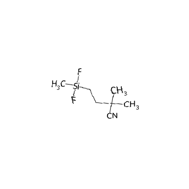 CC(C)(C#N)CC[Si](C)(F)F